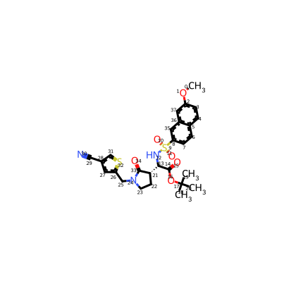 COc1ccc2ccc(S(=O)(=O)NC(C(=O)OC(C)(C)C)[C@@H]3CCN(Cc4cc(C#N)cs4)C3=O)cc2c1